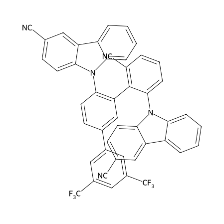 N#Cc1ccc2c(c1)c1ccccc1n2-c1ccc(-c2cc(C(F)(F)F)cc(C(F)(F)F)c2)cc1-c1c(C#N)cccc1-n1c2ccccc2c2cc(C#N)ccc21